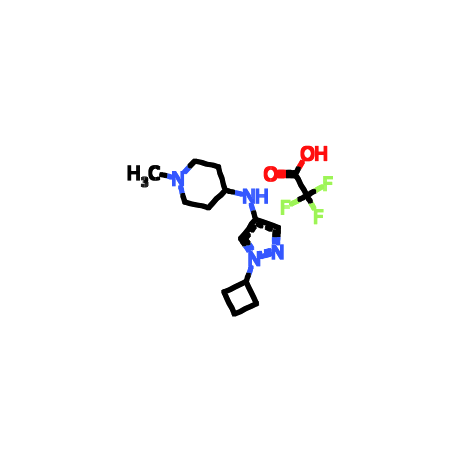 CN1CCC(Nc2cnn(C3CCC3)c2)CC1.O=C(O)C(F)(F)F